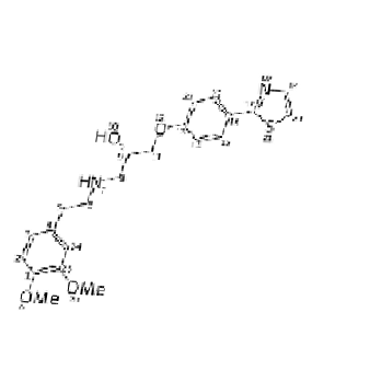 COc1ccc(CCNC[C@H](O)COc2ccc(-c3nccs3)cc2)cc1OC